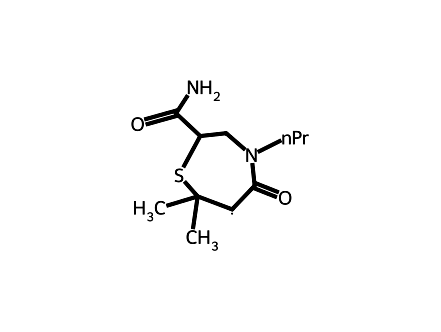 CCCN1CC(C(N)=O)SC(C)(C)[CH]C1=O